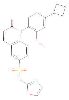 COC1=C(n2c(=O)ccc3cc(S(=O)(=O)Nc4ncco4)ccc32)CCC(C2CCC2)=C1